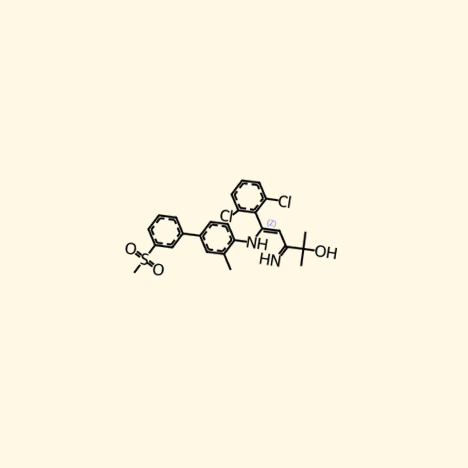 Cc1cc(-c2cccc(S(C)(=O)=O)c2)ccc1N/C(=C\C(=N)C(C)(C)O)c1c(Cl)cccc1Cl